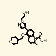 C[C@H]1CCc2c(ccc(-c3cnn(CCO)c3)c2OCC2CCOCC2)N1C(=O)O